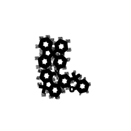 CC1(C)c2ccccc2Oc2ccc(N(c3cccc(C4(c5ccccc5)c5ccccc5-c5ccccc54)c3)c3cccc4c3-c3ccccc3C4(C)C)cc21